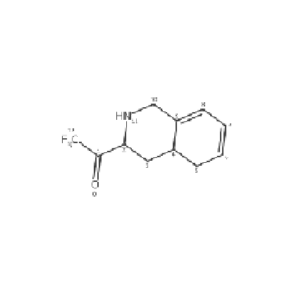 O=C(C1CC2CC=CC=C2CN1)C(F)(F)F